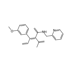 C=C/C(=C(\C(=C)C)C(=C)NCc1ccccn1)c1cccc(OC)c1